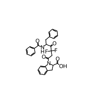 O=C(NC(Cc1ccccc1)C(=O)C(F)(F)CC(=O)N1c2ccccc2CC1C(=O)O)c1ccccc1